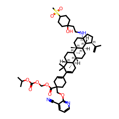 C=C(C)[C@@H]1CC[C@]2(NCCC3(O)CCC(S(C)(=O)=O)CC3)CC[C@]3(C)[C@H](CC[C@@H]4[C@@]5(C)CC=C(C6=CCC(COc7ncccc7C#N)(C(=O)OCOC(=O)OC(C)C)CC6)C(C)(C)[C@@H]5CC[C@]43C)[C@@H]12